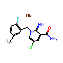 Br.Cc1ccc(F)c(Cn2cc(Cl)cc(C(N)=O)c2=N)c1